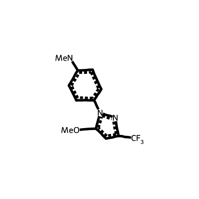 CNc1ccc(-n2nc(C(F)(F)F)cc2OC)cc1